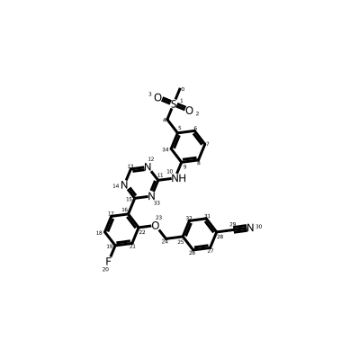 CS(=O)(=O)Cc1cccc(Nc2ncnc(-c3ccc(F)cc3OCc3ccc(C#N)cc3)n2)c1